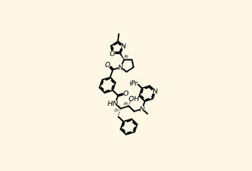 Cc1coc([C@H]2CCCN2C(=O)c2cccc(C(=O)N[C@@H](Cc3ccccc3)[C@H](O)CN(C)c3cncc(C(C)C)c3)c2)n1